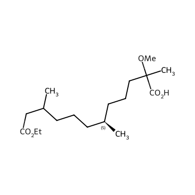 CCOC(=O)CC(C)CCC[C@H](C)CCCC(C)(OC)C(=O)O